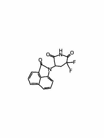 O=C1NC(=O)C(F)(F)CC1N1C(=O)c2cccc3cccc1c23